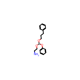 NCCOB(OCCCc1ccccc1)Oc1ccccc1